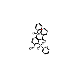 O=[C]c1ncc(S(=O)(=O)c2ccccc2)c(C(=O)c2ccccc2)c1S(=O)(=O)c1ccccn1